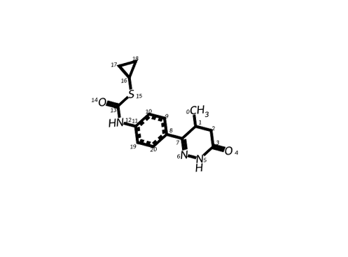 CC1CC(=O)NN=C1c1ccc(NC(=O)SC2CC2)cc1